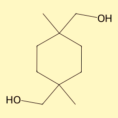 CC1(CO)CCC(C)(CO)CC1